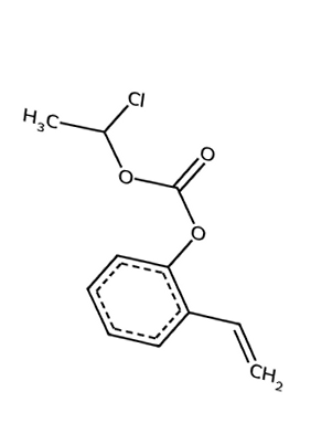 C=Cc1ccccc1OC(=O)OC(C)Cl